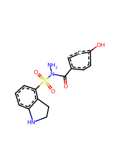 NN(C(=O)c1ccc(O)cc1)S(=O)(=O)c1cccc2c1CCN2